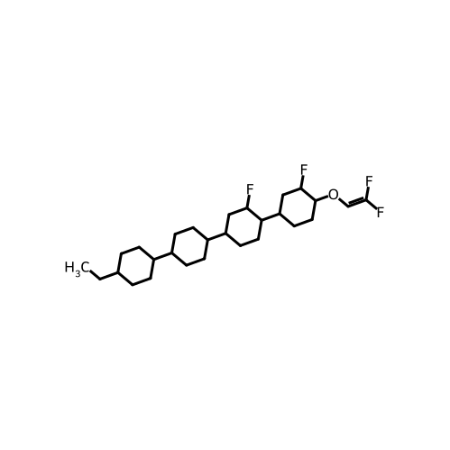 CCC1CCC(C2CCC(C3CCC(C4CCC(OC=C(F)F)C(F)C4)C(F)C3)CC2)CC1